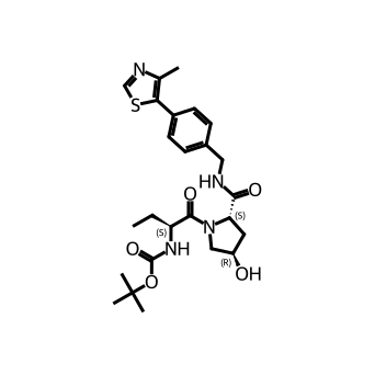 CC[C@H](NC(=O)OC(C)(C)C)C(=O)N1C[C@H](O)C[C@H]1C(=O)NCc1ccc(-c2scnc2C)cc1